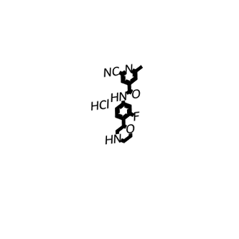 Cc1cc(C(=O)Nc2ccc(C3CNCCO3)c(F)c2)cc(C#N)n1.Cl